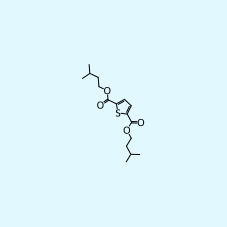 CC(C)CCOC(=O)c1ccc(C(=O)OCCC(C)C)s1